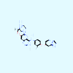 Cc1cc(Nc2ncnc3cc4c(nc23)N2CCN[C@H](CO4)C2)ccc1Oc1ccn2ccnc2c1